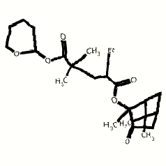 CCC(CC(C)(C)C(=O)OC1CCCCO1)C(=O)OC1(C)C(=O)CC2CC1C2(C)C